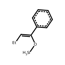 CCC=C(O[SiH3])c1ccccc1